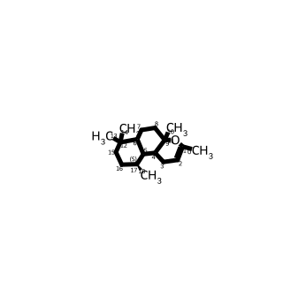 CC1=CCC2C3C(CCC2(C)O1)C(C)(C)CC[C@@H]3C